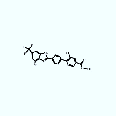 COC(=O)c1cnc(-c2ccc(-c3nc4c(Br)cc(C(F)(F)F)cc4[nH]3)cc2)c(Cl)c1